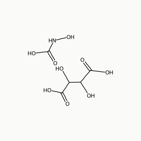 O=C(O)C(O)C(O)C(=O)O.O=C(O)NO